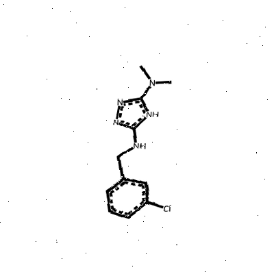 CN(C)c1nnc(NCc2cccc(Cl)c2)[nH]1